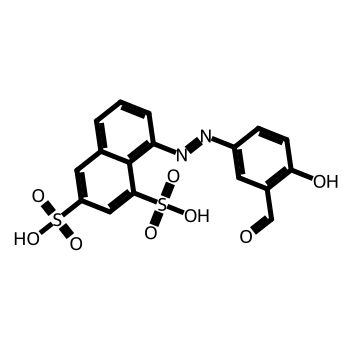 O=Cc1cc(N=Nc2cccc3cc(S(=O)(=O)O)cc(S(=O)(=O)O)c23)ccc1O